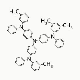 Cc1cccc(N(c2ccccc2)c2ccc(N(c3ccc(N(c4ccccc4)c4cccc(C)c4)cc3)c3ccc(N(c4ccccc4)c4cc(C)cc(C)c4)cc3)cc2)c1